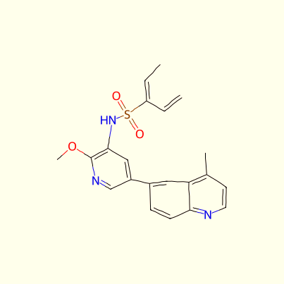 C=C/C(=C\C)S(=O)(=O)Nc1cc(-c2ccc3nccc(C)c3c2)cnc1OC